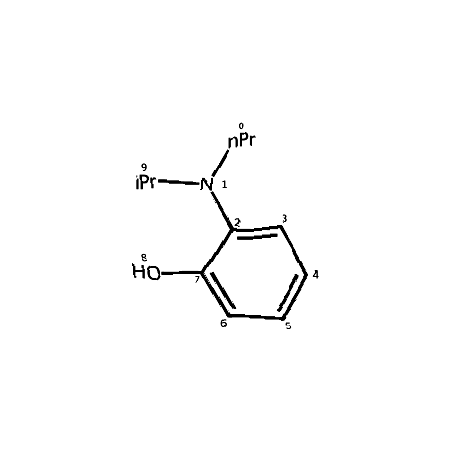 CCCN(c1ccccc1O)C(C)C